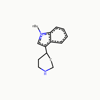 CCCCn1cc(C2CCNCC2)c2ccccc21